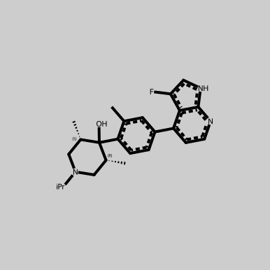 Cc1cc(-c2ccnc3[nH]cc(F)c23)ccc1C1(O)[C@H](C)CN(C(C)C)C[C@@H]1C